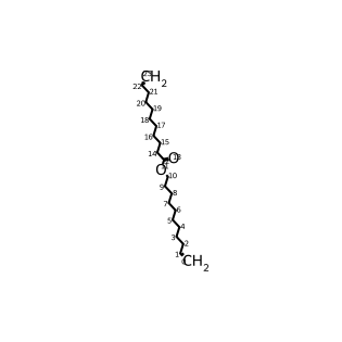 C=CCCCCCCCCCOC(=O)CCCCCCCCC=C